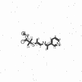 C/C(=C\N=C(/C)c1cccnc1)SC(C)(C)C(=O)N=O